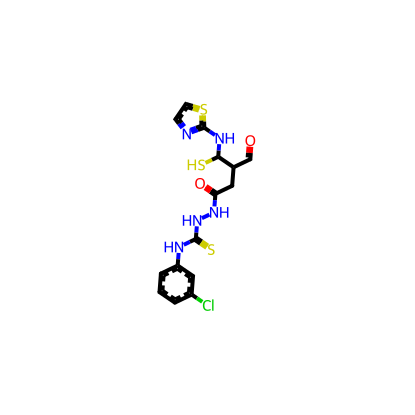 O=CC(CC(=O)NNC(=S)Nc1cccc(Cl)c1)C(S)Nc1nccs1